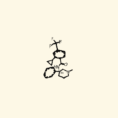 CN1CCC[C@@](NC(=O)c2ccc(C(F)(F)F)cc2C2CC2)(c2ccccc2)C1